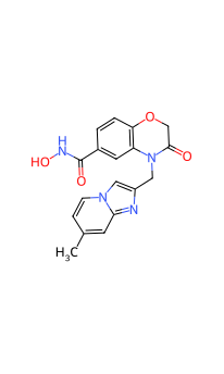 Cc1ccn2cc(CN3C(=O)COc4ccc(C(=O)NO)cc43)nc2c1